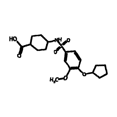 COc1cc(S(=O)(=O)NC2CCC(C(=O)O)CC2)ccc1OC1CCCC1